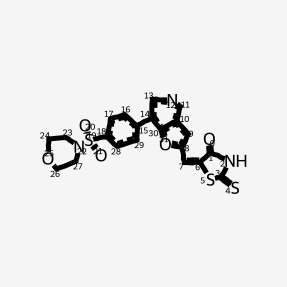 O=C1NC(=S)S/C1=C/c1cc2cncc(-c3ccc(S(=O)(=O)N4CCOCC4)cc3)c2o1